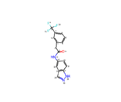 O=C(Cc1cccc(C(F)(F)F)c1)Nc1ccc2[nH]ncc2c1